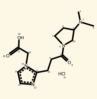 CN(C)C1CCN(C(=O)CCc2nccn2CC(=O)O)C1.Cl